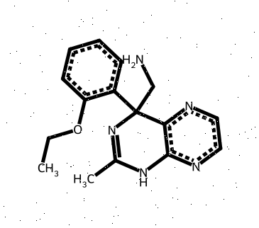 CCOc1ccccc1C1(CN)N=C(C)Nc2nccnc21